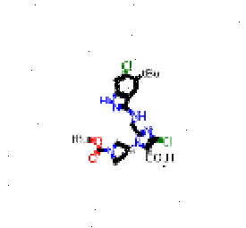 CC(C)(C)OC(=O)N1CC[C@@H](n2c(CNc3n[nH]c4cc(Cl)c(C(C)(C)C)cc34)nc(Cl)c2C(=O)O)C1